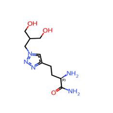 NC(=O)[C@H](N)CCc1cn(CC(CO)CO)nn1